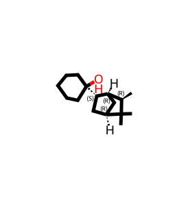 C[C@@H]1[C@H]2C[C@H](C[C@@H]2C2(O)CCCCC2)C1(C)C